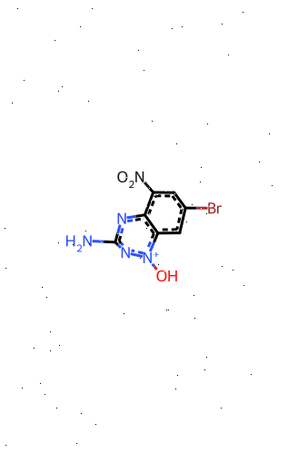 Nc1nc2c([N+](=O)[O-])cc(Br)cc2[n+](O)n1